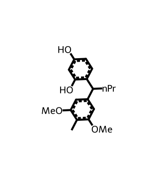 CCCC(c1cc(OC)c(C)c(OC)c1)c1ccc(O)cc1O